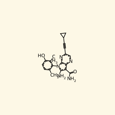 Cc1ccc(O)c(C)c1-n1c(N)c(C(N)=O)c2ncc(C#CC3CC3)nc21